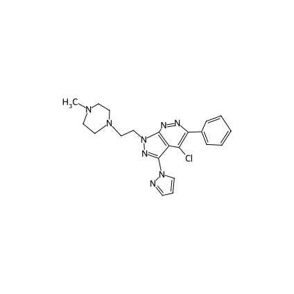 CN1CCN(CCn2nc(-n3cccn3)c3c(Cl)c(-c4ccccc4)nnc32)CC1